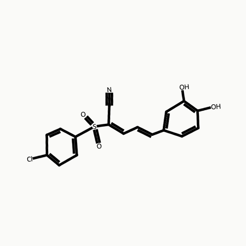 N#C/C(=C\C=C\c1ccc(O)c(O)c1)S(=O)(=O)c1ccc(Cl)cc1